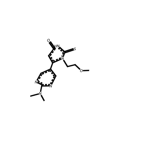 COCCn1c(-c2cnc(N(C)C)nc2)cc(=O)[nH]c1=S